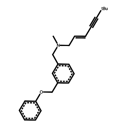 CN(CC=CC#CC(C)(C)C)Cc1cccc(COc2ccccc2)c1